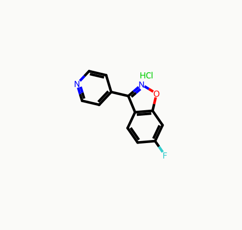 Cl.Fc1ccc2c(-c3ccncc3)noc2c1